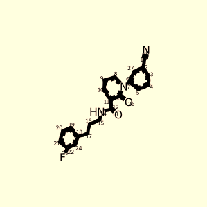 N#Cc1cccc(-n2cccc(C(=O)NCCCc3cccc(F)c3)c2=O)c1